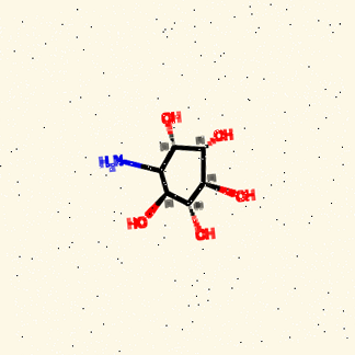 NC1[C@H](O)[C@H](O)[C@@H](O)[C@H](O)[C@H]1O